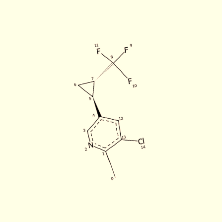 Cc1ncc([C@H]2C[C@@H]2C(F)(F)F)cc1Cl